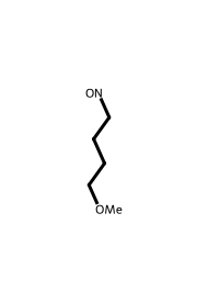 COCCCCN=O